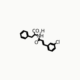 O=C(/C=C/c1cccc(Cl)c1)N[C@@H](Cc1ccccc1)C(=O)O